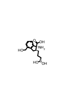 N[C@@]1(C(=O)O)c2cccc(CO)c2C[C@@H]1CCCB(O)O